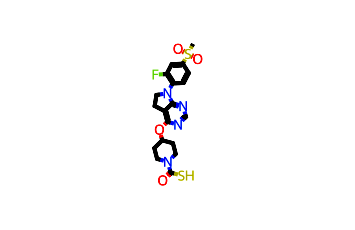 CS(=O)(=O)c1ccc(N2CCc3c(OC4CCN(C(=O)S)CC4)ncnc32)c(F)c1